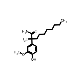 CCCCCCCCC(C)(C(N)=O)c1ccc(O)c(OC)c1